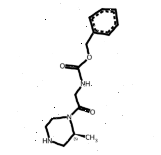 C[C@H]1CNCCN1C(=O)CNC(=O)OCc1ccccc1